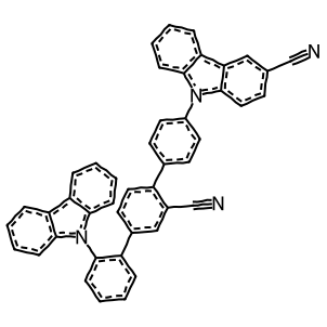 N#Cc1ccc2c(c1)c1ccccc1n2-c1ccc(-c2ccc(-c3ccccc3-n3c4ccccc4c4ccccc43)cc2C#N)cc1